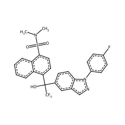 CN(C)S(=O)(=O)c1ccc(C(O)(c2ccc3c(cnn3-c3ccc(F)cc3)c2)C(F)(F)F)c2ccccc12